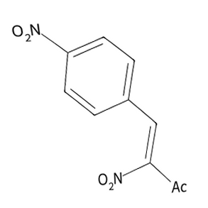 CC(=O)C(=Cc1ccc([N+](=O)[O-])cc1)[N+](=O)[O-]